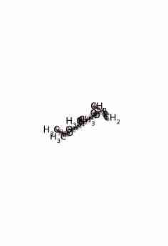 C=C=C=C=CC(CCCCC)CCOC(=O)CCCCCCCC(CCCCCCCC(=O)OCCC(C)CCCCC)N(C)C